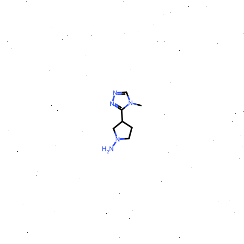 Cn1cnnc1C1CCN(N)C1